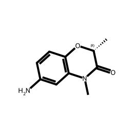 C[C@H]1Oc2ccc(N)cc2N(C)C1=O